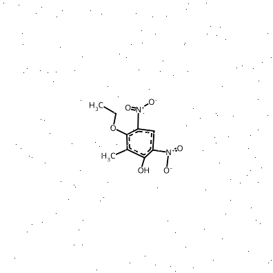 CCOc1c([N+](=O)[O-])cc([N+](=O)[O-])c(O)c1C